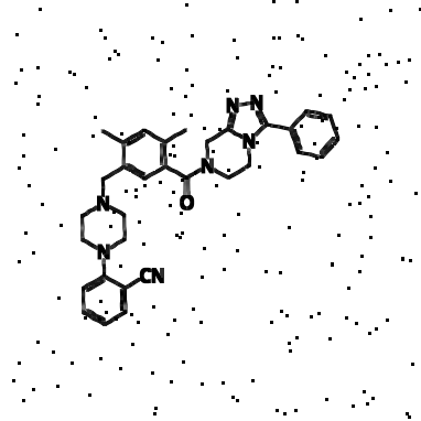 Cc1cc(C)c(C(=O)N2CCn3c(nnc3-c3ccccc3)C2)cc1CN1CCN(c2ccccc2C#N)CC1